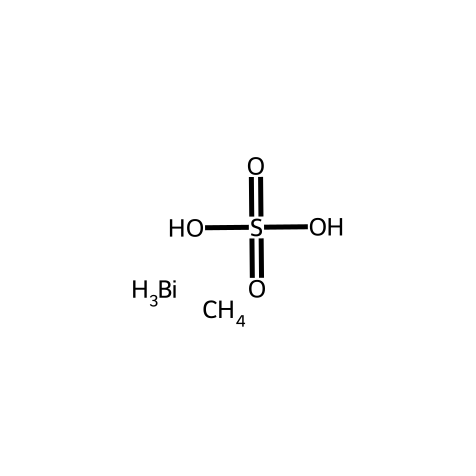 C.O=S(=O)(O)O.[BiH3]